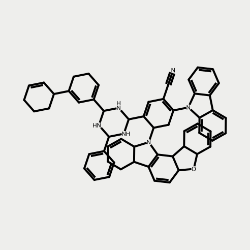 N#CC1=C(n2c3ccccc3c3ccccc32)CC(N2C3=C(C=CC4OC5C=CC=CC5C34)C3CCC=CC32)C(C2NC(C3=CCCC(C4C=CCCC4)=C3)NC(c3ccccc3)N2)=C1